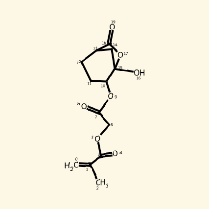 C=C(C)C(=O)OCC(=O)OC1CCC2CC1(O)OC2=O